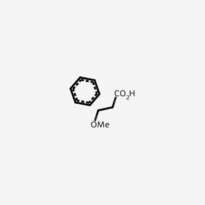 COCCC(=O)O.c1ccccc1